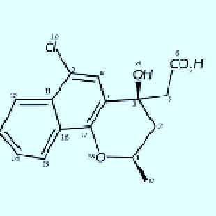 C[C@@H]1C[C@@](O)(CC(=O)O)c2cc(Cl)c3ccccc3c2O1